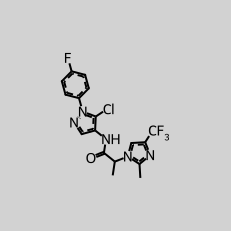 Cc1nc(C(F)(F)F)cn1C(C)C(=O)Nc1cnn(-c2ccc(F)cc2)c1Cl